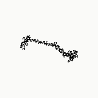 O=C1CCC(N2Cc3c(SCCOCCOCCOCCOCCOCC(=O)N4CCN(C5CCN(c6ccc7c(c6)C(=O)N(C(C(=O)Nc6nccs6)c6cc(F)ccc6O)C7)CC5)CC4)cccc3C2=O)C(=O)N1